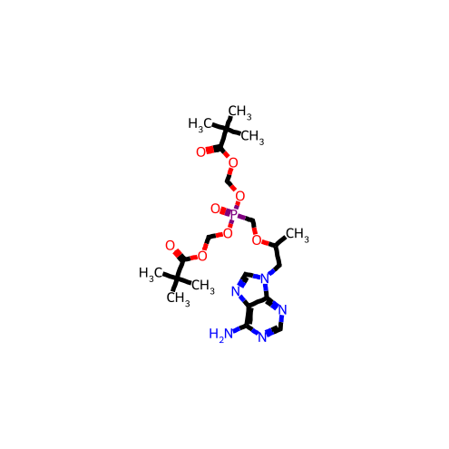 CC(Cn1cnc2c(N)ncnc21)OCP(=O)(OCOC(=O)C(C)(C)C)OCOC(=O)C(C)(C)C